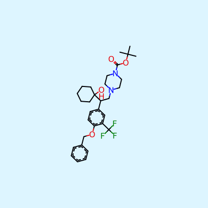 CC(C)(C)OC(=O)N1CCN(CC(c2ccc(OCc3ccccc3)c(C(F)(F)F)c2)C2(O)CCCCC2)CC1